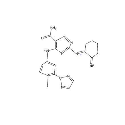 Cc1ccc(Nc2nc(/N=C3\CCCCC3=N)ncc2C(N)=O)cc1-n1nccn1